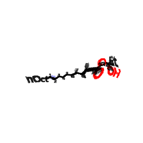 CCCCCCCC/C=C/CCCCCCCC(=O)OC(O)CC